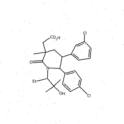 CCC(N1C(=O)C(C)(CC(=O)O)CC(c2cccc(Cl)c2)C1c1ccc(Cl)cc1)C(C)(C)O